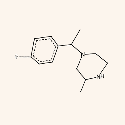 CC1CN(C(C)c2ccc(F)cc2)CCN1